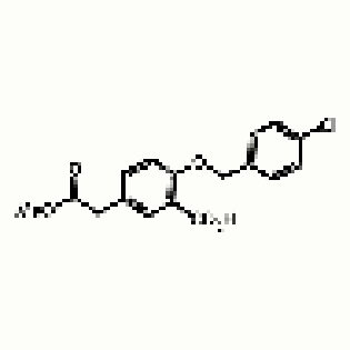 COC(=O)Cc1ccc(OCc2ccc(Cl)cc2)c(C(=O)O)c1